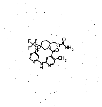 Cc1cnc(Nc2cc(OC(F)(F)F)ccn2)cc1C(=O)N1CC(F)(F)CCC1COC(N)=O